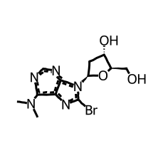 CN(C)c1ncnc2c1nc(Br)n2[C@H]1C[C@H](O)[C@@H](CO)O1